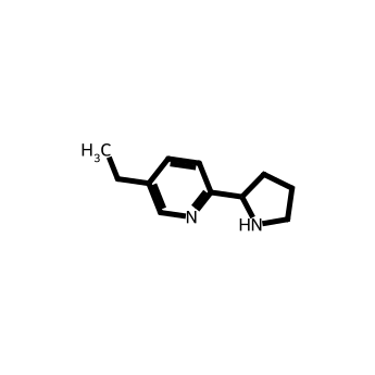 CCc1ccc(C2CCCN2)nc1